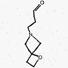 O=CCCN1CC2(CCO2)C1